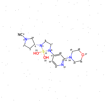 N#CN1CC[C@@H](N2CCN(c3ccnc(N4CCOCC4)c3)S2(O)O)C1